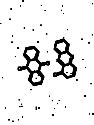 O=C1CC=Cc2nc3ccccc3cc21.O=C1c2ccccc2C(=O)c2ccccc21